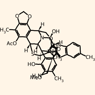 COc1c(C)cc2c(c1O)[C@H]1[C@@H]3[C@@H]4SC[C@]5(N[C@H](CN)Cc6c5[nH]c5ccc(C)cc65)C(=O)OC[C@@H](c5c6c(c(C)c(OC(C)=O)c54)OCO6)N3[C@@H](O)[C@H](C2)N1C